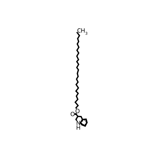 CCCCCCCCCCCCCCCCCCCCCCCCCCCCOC(=O)C1CNc2ccccc2C1